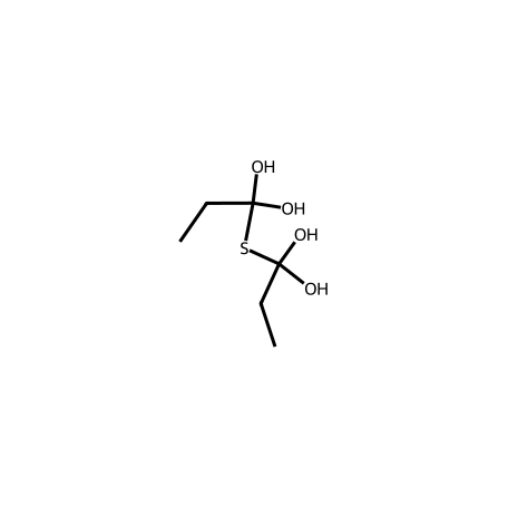 CCC(O)(O)SC(O)(O)CC